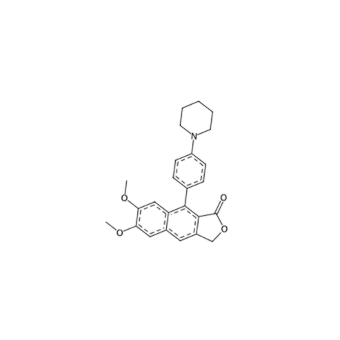 COc1cc2cc3c(c(-c4ccc(N5CCCCC5)cc4)c2cc1OC)C(=O)OC3